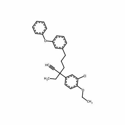 C#CC(CC)(CCCc1cccc(Oc2ccccc2)c1)c1ccc(OCC)c(Cl)c1